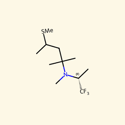 CSC(C)CC(C)(C)N(C)[C@H](C)C(F)(F)F